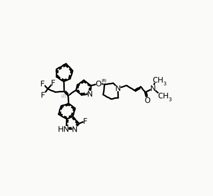 CN(C)C(=O)C=CCN1CCC[C@@H](Oc2ccc(/C(=C(/CC(F)(F)F)c3ccccc3)c3ccc4[nH]nc(F)c4c3)cn2)C1